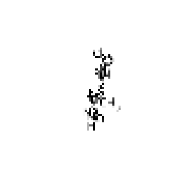 Cn1c(SCCc2nnn(-c3cccc(Cl)c3)n2)nnc1-c1cn[nH]c(=O)c1